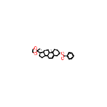 CC1(C2CCC3C4CC=C5C[C@@H](OC(=O)c6ccccc6)CC[C@]5(C)C4CC[C@@]32C)OCCO1